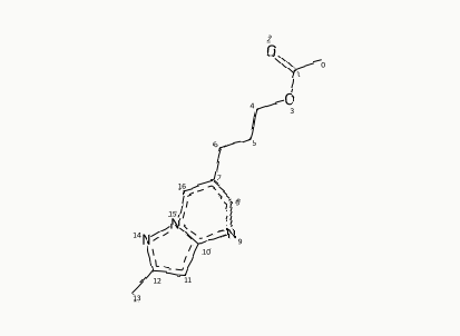 CC(=O)OCCCc1cnc2cc(C)nn2c1